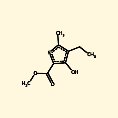 CCc1c(C)sc(C(=O)OC)c1O